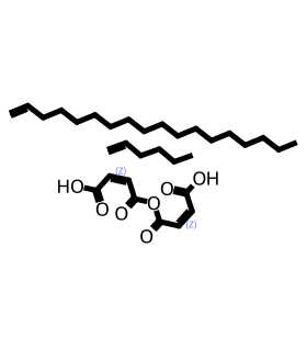 C=CCCCC.C=CCCCCCCCCCCCCCCCC.O=C(O)/C=C\C(=O)OC(=O)/C=C\C(=O)O